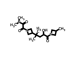 CC1CN(C(=O)C(O)CC(C)(C)C2CN(C(=O)C(=O)N(C)C)C2)C1